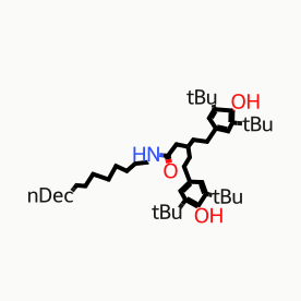 CCCCCCCCCCCCCCCCCCNC(=O)CC(CCc1cc(C(C)(C)C)c(O)c(C(C)(C)C)c1)CCc1cc(C(C)(C)C)c(O)c(C(C)(C)C)c1